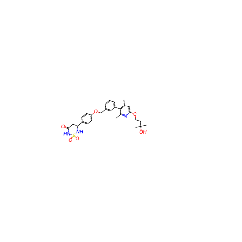 Cc1cc(OCCC(C)(C)O)nc(C)c1-c1cccc(COc2ccc(C3CC(=O)NS(=O)(=O)N3)cc2)c1